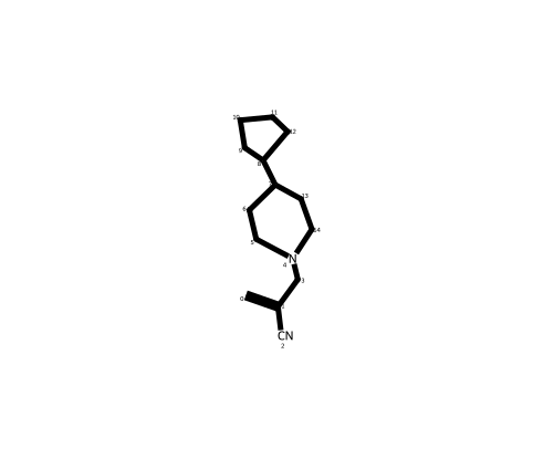 C=C(C#N)CN1CCC(C2CCCC2)CC1